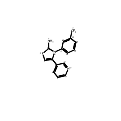 NC1SC=C(c2cccnc2)N1c1cccc(C(F)(F)F)c1